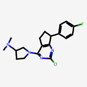 CN(C)C1CCN(c2nc(Cl)nc3c2CCC3c2ccc(F)cc2)C1